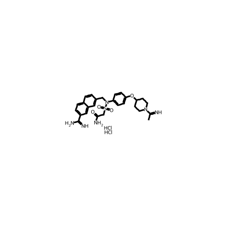 CC(=N)N1CCC(Oc2ccc(N(Cc3ccc4ccc(C(=N)N)cc4c3)S(=O)(=O)CC(N)=O)cc2)CC1.Cl.Cl